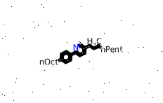 CCCCCCCCc1ccc(-c2ccc(CCC(C)CCCCC)cn2)cc1